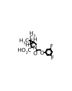 CC1(C)[C@@H]2[C@@H](C(=O)O)N(C(=O)COc3cc(F)cc(F)c3)C[C@@H]21